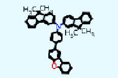 CC1(C)c2ccccc2-c2cc(N(c3ccc(-c4ccc5oc6ccccc6c5c4)cc3)c3ccc4c(c3)C(C)(C)c3ccccc3-4)ccc21